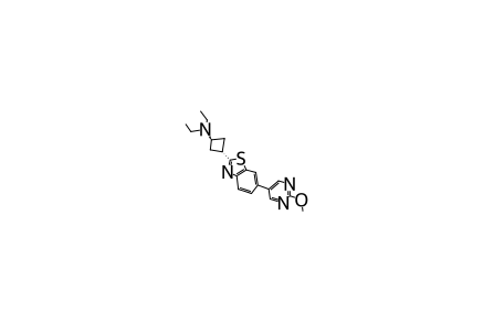 CCN(CC)[C@H]1C[C@H](c2nc3ccc(-c4cnc(OC)nc4)cc3s2)C1